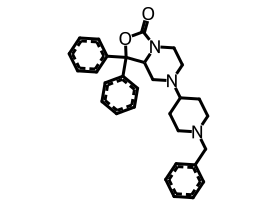 O=C1OC(c2ccccc2)(c2ccccc2)C2CN(C3CCN(Cc4ccccc4)CC3)CCN12